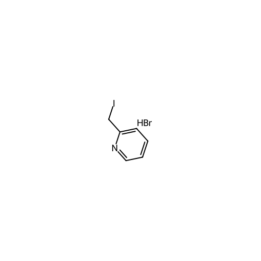 Br.ICc1ccccn1